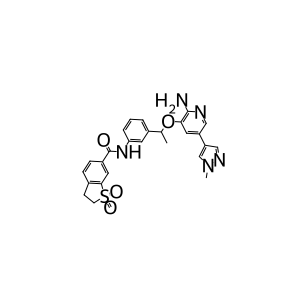 CC(Oc1cc(-c2cnn(C)c2)cnc1N)c1cccc(NC(=O)c2ccc3c(c2)S(=O)(=O)CC3)c1